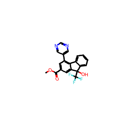 COC(=O)c1cc(-c2cncnc2)c2c(c1)C(O)(C(F)(F)F)c1ccccc1-2